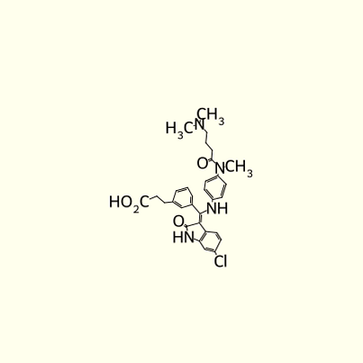 CN(C)CCCC(=O)N(C)c1ccc(NC(=C2C(=O)Nc3cc(Cl)ccc32)c2cccc(CCC(=O)O)c2)cc1